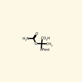 CCCCCC(C)(OC(N)=O)C(=O)O